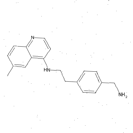 Cc1ccc2nccc(NCCc3ccc(CN)cc3)c2c1